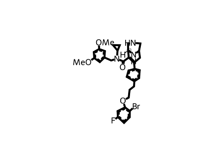 COc1cc(CN(C(=O)C2=C(c3ccc(CCCOc4cc(F)ccc4Br)cc3)CC3CNC[C@H]2N3)C2CC2)cc(OC)c1